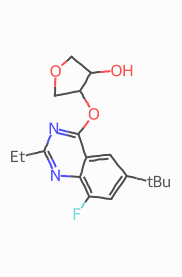 CCc1nc(OC2COCC2O)c2cc(C(C)(C)C)cc(F)c2n1